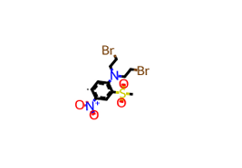 CS(=O)(=O)c1cc([N+](=O)[O-])[c]cc1N(CCBr)CCBr